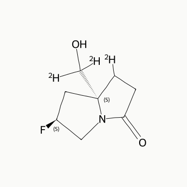 [2H]C1CC(=O)N2C[C@@H](F)C[C@@]12C([2H])([2H])O